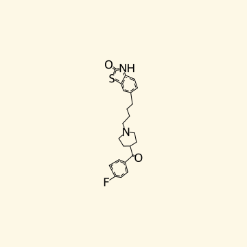 O=C(c1ccc(F)cc1)C1CCN(CCCCc2ccc3[nH]c(=O)sc3c2)CC1